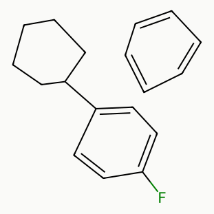 Fc1ccc(C2CCCCC2)cc1.c1ccccc1